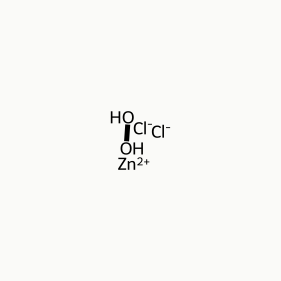 OO.[Cl-].[Cl-].[Zn+2]